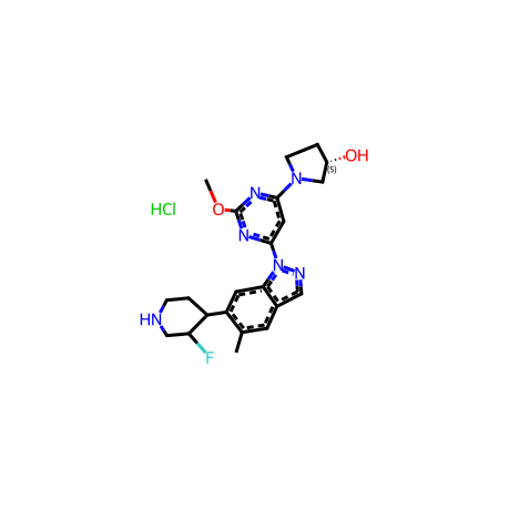 COc1nc(N2CC[C@H](O)C2)cc(-n2ncc3cc(C)c(C4CCNCC4F)cc32)n1.Cl